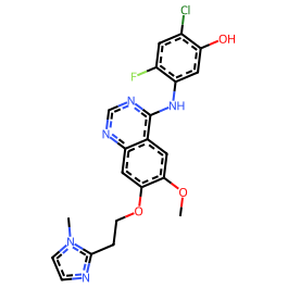 COc1cc2c(Nc3cc(O)c(Cl)cc3F)ncnc2cc1OCCc1nccn1C